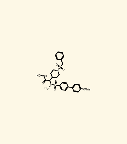 COc1ccc(-c2ccc(S(=O)(=O)N(C)C(C(=O)NO)C3CCN(S(=O)(=O)Cc4ccccc4)CC3)cc2)cc1